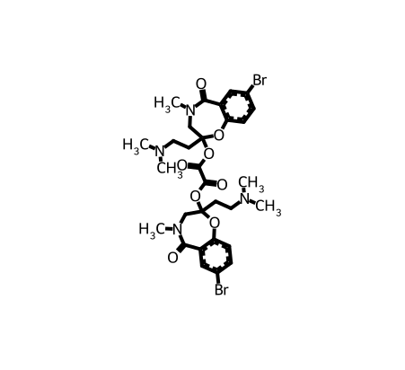 CN(C)CCC1(OC(=O)C(=O)OC2(CCN(C)C)CN(C)C(=O)c3cc(Br)ccc3O2)CN(C)C(=O)c2cc(Br)ccc2O1